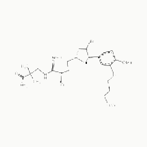 COCCCOc1cc(C2N[C@H]([C@H](C[C@H](C(=O)NCC(C)(C)C(N)=O)C(C)C)OC)CC2C(C)C)ccc1OC